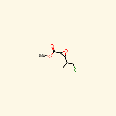 CC(CCl)C1OC1C(=O)OC(C)(C)C